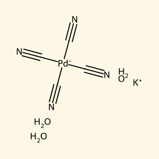 N#[C][Pd-]([C]#N)([C]#N)[C]#N.O.O.O.[K+]